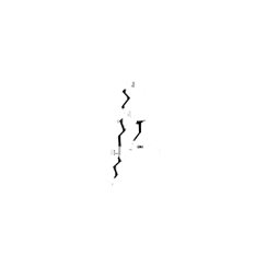 C=C(CCN(C)C)C(=O)O.NCCCNCCCCNCCCN